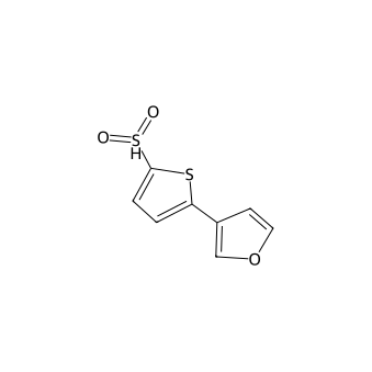 O=[SH](=O)c1ccc(-c2ccoc2)s1